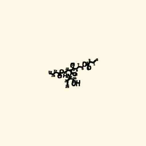 CCCC(=O)OCCCC(=O)C(CCOC(=O)CCC)C(=O)NC(CC)CO